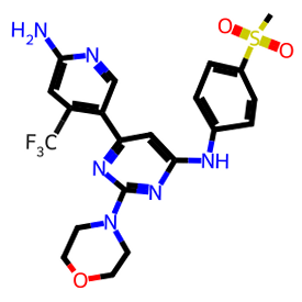 CS(=O)(=O)c1ccc(Nc2cc(-c3cnc(N)cc3C(F)(F)F)nc(N3CCOCC3)n2)cc1